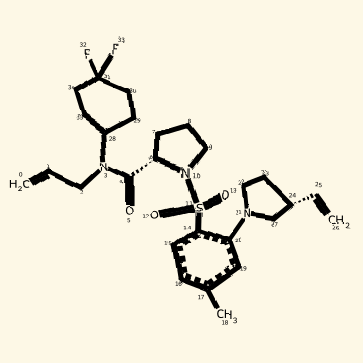 C=CCN(C(=O)[C@@H]1CCCN1S(=O)(=O)c1ccc(C)cc1N1CC[C@H](C=C)C1)C1CCC(F)(F)CC1